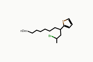 CCCCCCCCCCCCCCCCC(CC(C)Br)c1cccs1